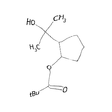 CC(C)(C)C(=O)OC1CCCC1C(C)(C)O